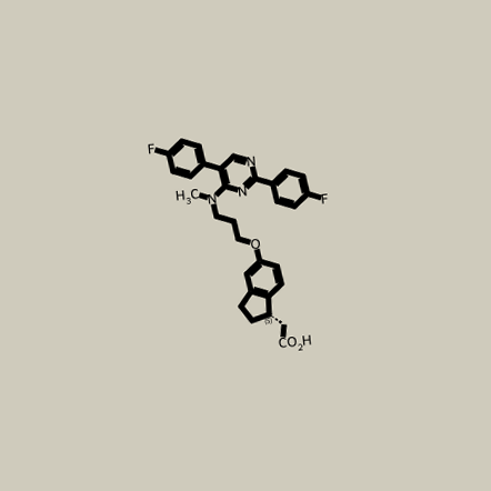 CN(CCCOc1ccc2c(c1)CC[C@H]2CC(=O)O)c1nc(-c2ccc(F)cc2)ncc1-c1ccc(F)cc1